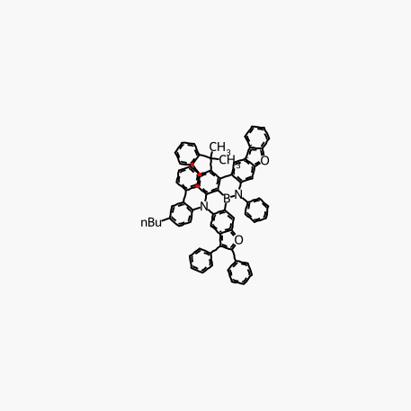 CCCCc1ccc(N2c3cc4c(-c5ccccc5)c(-c5ccccc5)oc4cc3B3c4c2cc2c(c4-c4cc5c(cc4N3c3ccccc3)oc3ccccc35)C(C)(C)c3ccccc3-2)c(-c2ccccc2)c1